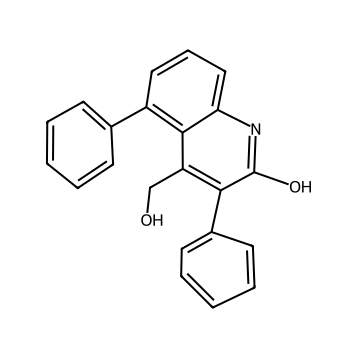 OCc1c(-c2ccccc2)c(O)nc2cccc(-c3ccccc3)c12